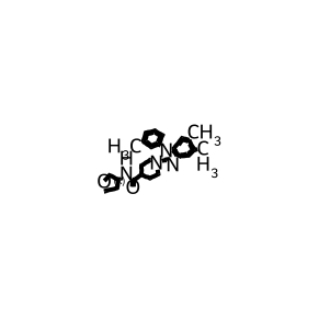 Cc1cccc(-n2c(N3CCC(C(=O)N[C@@H]4CCOC4)CC3)nc3cc(C)c(C)cc32)c1